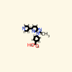 Cc1nc2ccc(-c3ccncc3)nc2n1-c1ccc(C(=O)O)cc1